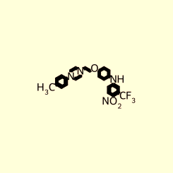 Cc1ccc(N2CCN(CCOC3CCC(Nc4ccc([N+](=O)[O-])c(C(F)(F)F)c4)CC3)CC2)cc1